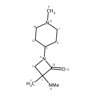 CNC1(C)CN(C2CCN(C)CC2)C1=O